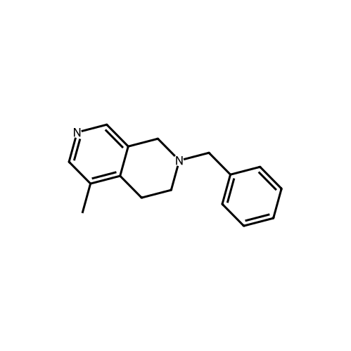 Cc1cncc2c1CCN(Cc1ccccc1)C2